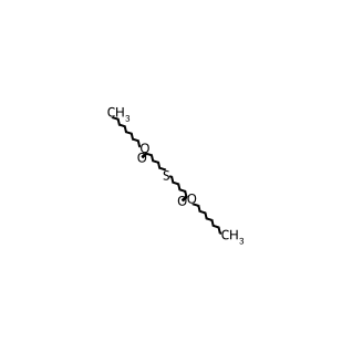 CCCCCCCCCCOC(=O)CCCCCSCCCCCC(=O)OCCCCCCCCCC